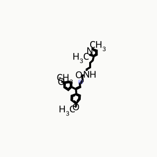 COc1ccc(C(=C/C=C/C(=O)NCCCCc2ccc(C)nc2C)c2ccc(OC)cc2)cc1